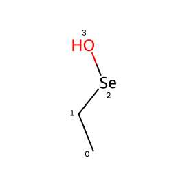 CC[Se]O